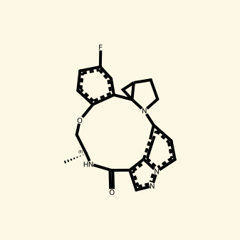 C[C@@H]1COc2ccc(F)cc2C23CC2CCN3c2ccn3ncc(c3c2)C(=O)N1